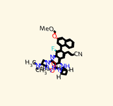 COCOc1cc(-c2c(/C=C/C#N)cc3c(N[C@@H]4[C@@H]5C[C@H]4N(C(=O)OC(C)(C)C)C5)c(N)c(N4CC(N(C)C)C4)nc3c2F)c2ccccc2c1